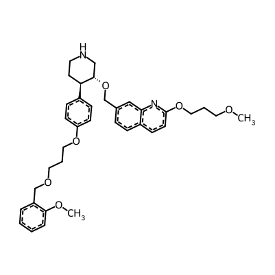 COCCCOc1ccc2ccc(CO[C@H]3CNCC[C@@H]3c3ccc(OCCCOCc4ccccc4OC)cc3)cc2n1